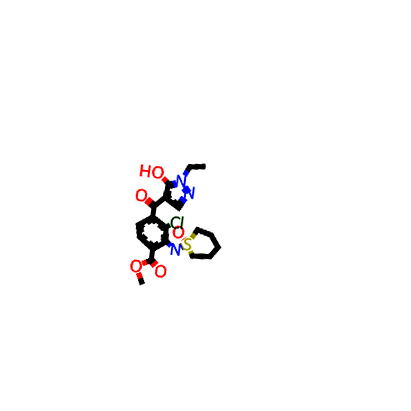 CCn1ncc(C(=O)c2ccc(C(=O)OC)c(N=S3(=O)CCCCC3)c2Cl)c1O